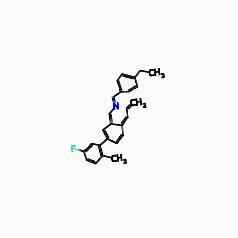 C=C/C=c1/ccc(-c2cc(F)ccc2C)c/c1=C/N=C/c1ccc(CC)cc1